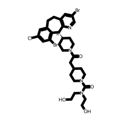 O=C(CC1CCN(C(=O)N(CCO)CCO)CC1)N1CCC([C@H]2c3ncc(Br)cc3CCc3cc(Cl)cc(Br)c32)CC1